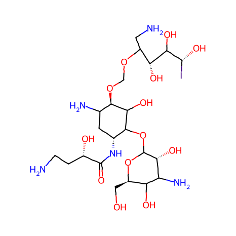 NCC[C@H](O)C(=O)N[C@@H]1CC(N)[C@@H](OCOC(CN)[C@@H](O)C(O)[C@H](O)I)C(O)C1OC1O[C@H](CO)C(O)C(N)[C@H]1O